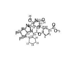 COC(=O)c1ccc(OCC(C2CCCCC2)n2c(-c3ccc(OC)nc3OC)nc3cc(F)c(F)cc32)c(F)c1